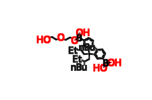 CCCCC(CC)CC1(CC(CC)CCCC)c2cc(B(O)O)ccc2-c2ccc(B(O)OCCOCCO)cc21